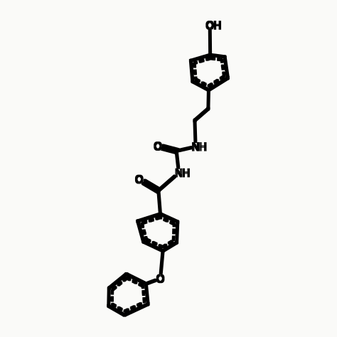 O=C(NCCc1ccc(O)cc1)NC(=O)c1ccc(Oc2ccccc2)cc1